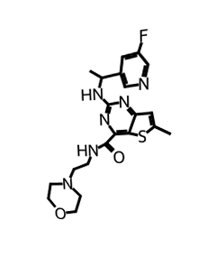 Cc1cc2nc(NC(C)c3cncc(F)c3)nc(C(=O)NCCN3CCOCC3)c2s1